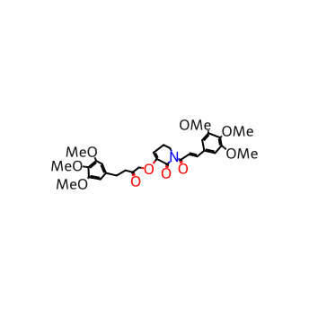 COc1cc(C=CC(=O)N2CCC=C(OCC(=O)CCc3cc(OC)c(OC)c(OC)c3)C2=O)cc(OC)c1OC